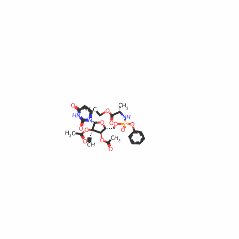 C#C[C@@]1(OC(C)=O)[C@H](OC(C)=O)[C@@H](COP(=O)(N[C@@H](C)C(=O)OCC)Oc2ccccc2)O[C@H]1n1ccc(=O)[nH]c1=O